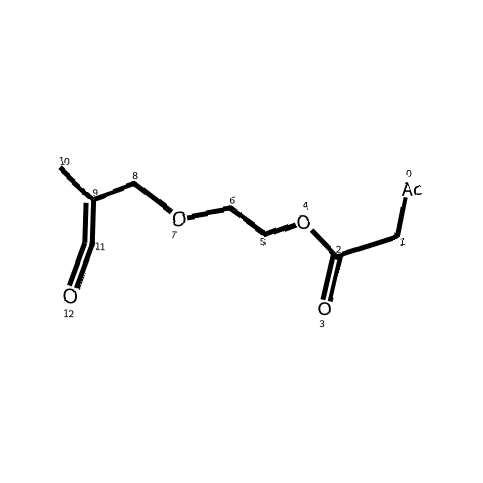 CC(=O)CC(=O)OCCOCC(C)=C=O